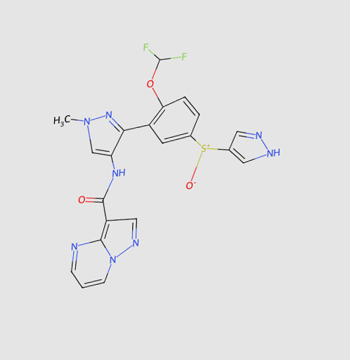 Cn1cc(NC(=O)c2cnn3cccnc23)c(-c2cc([S+]([O-])c3cn[nH]c3)ccc2OC(F)F)n1